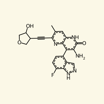 Cc1cc2[nH]c(=O)c(N)c(-c3ccc(F)c4[nH]ncc34)c2nc1C#CC1COCC1O